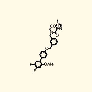 COc1cc(F)c(F)cc1-c1ccc(OCc2cccc(CN(CC(=O)O)C(=O)c3cn(C)cn3)c2)cc1